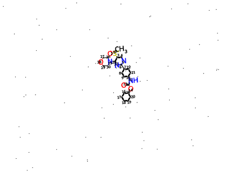 C[S+]([O-])c1cnc(-c2ccc(NC(=O)Oc3ccccc3)cc2)nc1N1CCOCC1